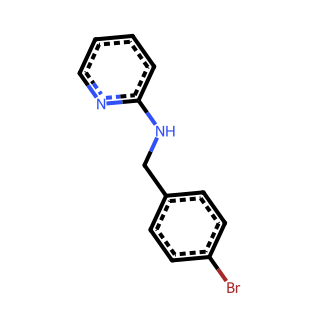 Brc1ccc(CNc2ccccn2)cc1